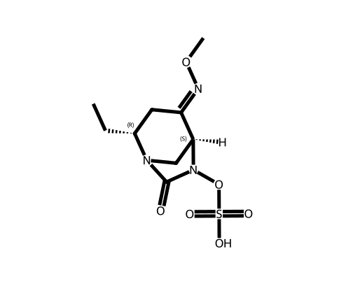 CC[C@@H]1CC(=NOC)[C@@H]2CN1C(=O)N2OS(=O)(=O)O